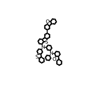 c1ccc(N(c2cccc(N(c3ccc4sc5ccccc5c4c3)c3cccc4c3sc3ccc(-c5ccc6oc7ccccc7c6c5)cc34)c2)c2cccc3c2oc2ccccc23)cc1